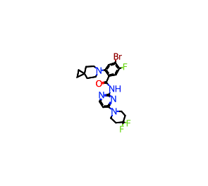 O=C(Nc1nccc(N2CCC(F)(F)CC2)n1)c1cc(F)c(Br)cc1N1CCC2(CC1)CC2